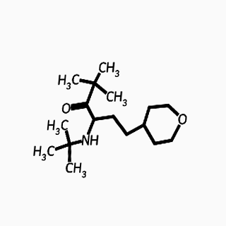 CC(C)(C)NC(CCC1CCOCC1)C(=O)C(C)(C)C